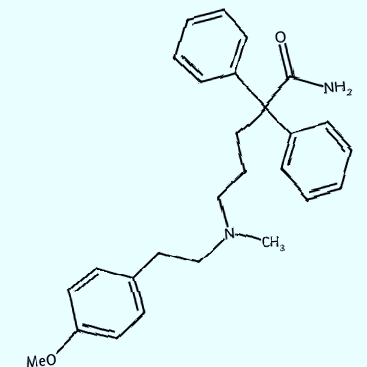 COc1ccc(CCN(C)CCCC(C(N)=O)(c2ccccc2)c2ccccc2)cc1